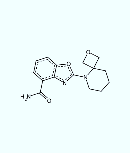 NC(=O)c1[c]ccc2oc(N3CCCCC34COC4)nc12